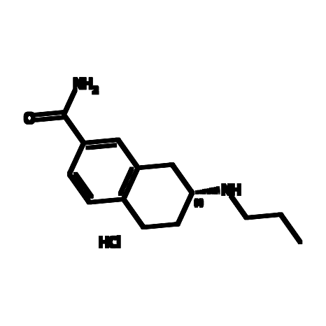 CCCN[C@@H]1CCc2ccc(C(N)=O)cc2C1.Cl